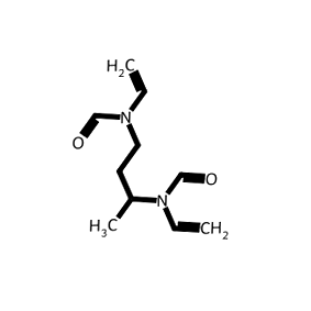 C=CN(C=O)CCC(C)N(C=C)C=O